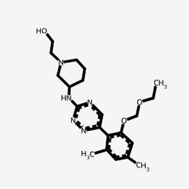 CCOCOc1cc(C)cc(C)c1-c1cnc(NC2CCCN(CCO)C2)nn1